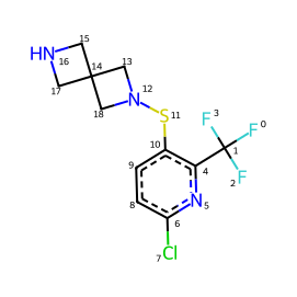 FC(F)(F)c1nc(Cl)ccc1SN1CC2(CNC2)C1